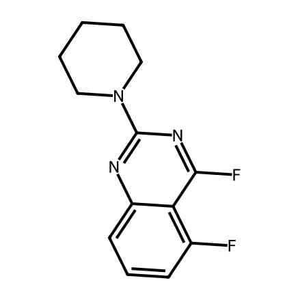 Fc1cccc2nc(N3CCCCC3)nc(F)c12